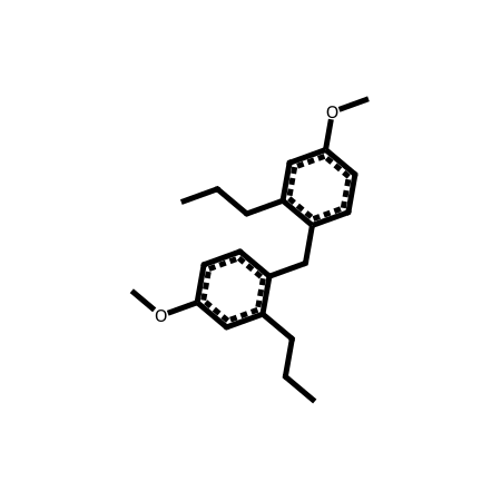 CCCc1cc(OC)ccc1Cc1ccc(OC)cc1CCC